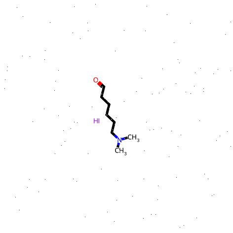 CN(C)CCCCCC=O.I